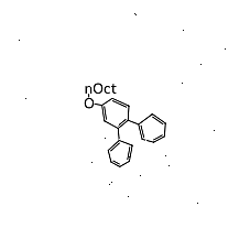 CCCCCCCCOc1ccc(-c2ccccc2)c(-c2ccccc2)c1